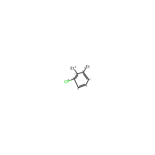 CCc1cc[c]c(Cl)c1CC